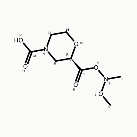 CON(C)OC(=O)[C@H]1CN(C(=O)O)CCO1